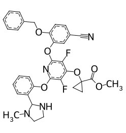 COC(=O)C1(Oc2c(F)c(Oc3cc(C#N)ccc3OCc3ccccc3)nc(Oc3ccccc3C3NCCN3C)c2F)CC1